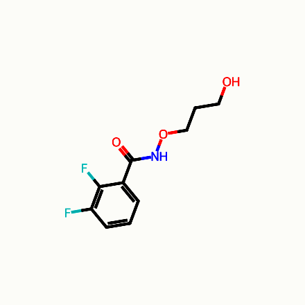 O=C(NOCCCO)c1cccc(F)c1F